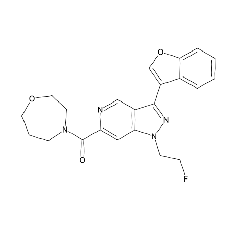 O=C(c1cc2c(cn1)c(-c1coc3ccccc13)nn2CCF)N1CCCOCC1